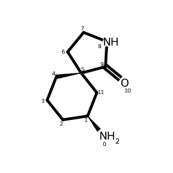 N[C@H]1CCC[C@]2(CCNC2=O)C1